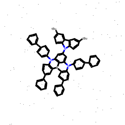 CC(C)(C)c1ccc2c(c1)c1cc(C(C)(C)C)ccc1n2-c1cc2c3c(c1)N(c1ccc(-c4ccccc4)cc1)c1ccc(-c4ccccc4)cc1B3c1cc(-c3ccccc3)ccc1N2c1ccc(-c2ccccc2)cc1